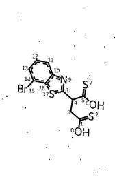 OC(=S)CC(C(O)=S)c1nc2cccc(Br)c2s1